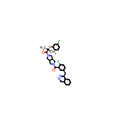 CC(C)(Sc1cccc(F)c1)C(=O)N1CC2CN(C(=O)c3cc(Cc4nncc5ccccc45)ccc3F)CC2C1